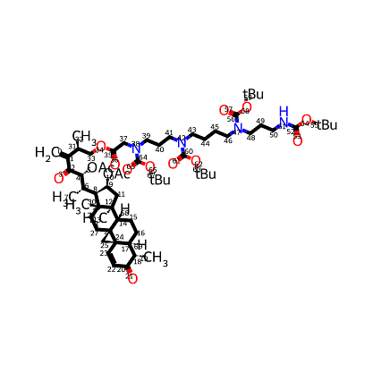 C=C(C(=O)[C@H](OC(C)=O)[C@@H](C)[C@H]1[C@@H](OC(C)=O)C[C@@]2(C)[C@@H]3CC[C@H]4[C@H](C)C(=O)C=C[C@@]45C[C@@]35CC[C@]12C)[C@@H](C)COC(=O)CN(CCCN(CCCCN(CCCNC(=O)OC(C)(C)C)C(=O)OC(C)(C)C)C(=O)OC(C)(C)C)C(=O)OC(C)(C)C